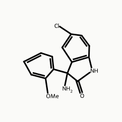 COc1ccccc1C1(N)C(=O)Nc2ccc(Cl)cc21